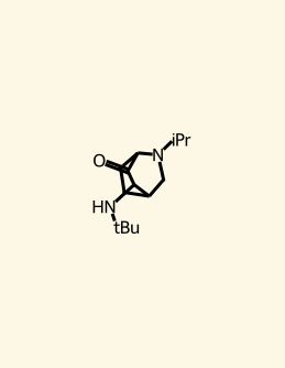 CC(C)N1CC2CCC1C(=O)C2NC(C)(C)C